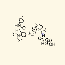 CC[C@@H](CC(=O)O[C@H](OC(=O)C(/C=N/C(=O)[C@H](C)OP(=O)(O)O)C(C)C)C(C)C)c1ccc(N(CC(C)C)CC(C)C)c(NC(=O)Nc2ccc(C)cc2)c1